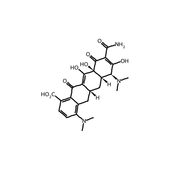 CN(C)c1ccc(C(=O)O)c2c1C[C@H]1C[C@H]3[C@H](N(C)C)C(O)=C(C(N)=O)C(=O)[C@@]3(O)C(O)=C1C2=O